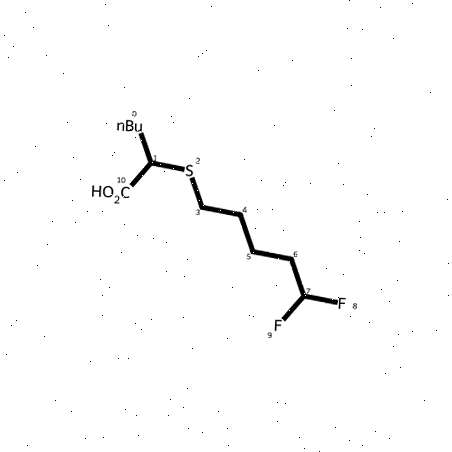 CCCCC(SCCCCC(F)F)C(=O)O